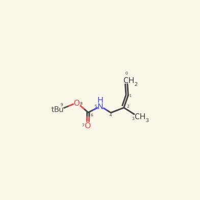 C=C=C(C)CNC(=O)OC(C)(C)C